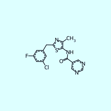 Cc1nc(Cc2cc(F)cc(Cl)c2)sc1NC(=O)c1cncnc1